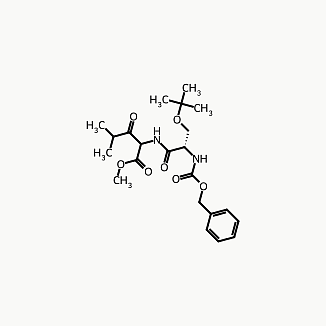 COC(=O)C(NC(=O)[C@H](COC(C)(C)C)NC(=O)OCc1ccccc1)C(=O)C(C)C